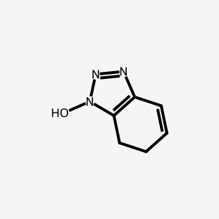 On1nnc2c1CCC=C2